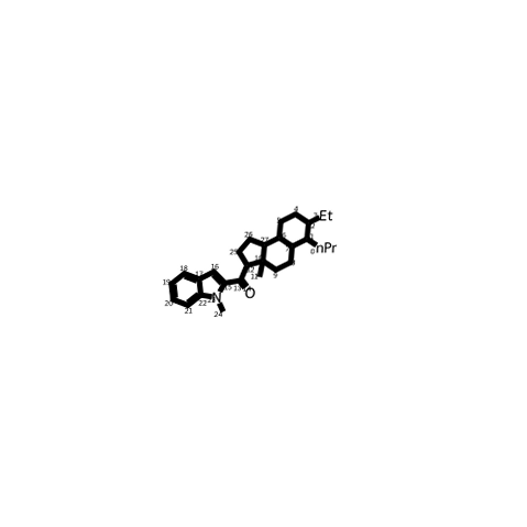 CCCC1C(CC)CCC2C1CCC1(C)C(C(=O)c3cc4ccccc4n3C)CCC21